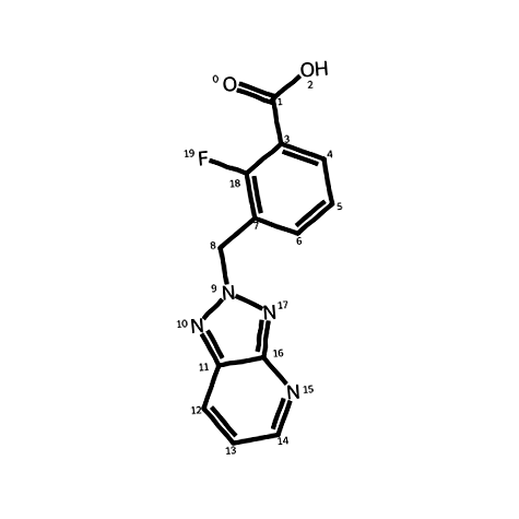 O=C(O)c1cccc(Cn2nc3cccnc3n2)c1F